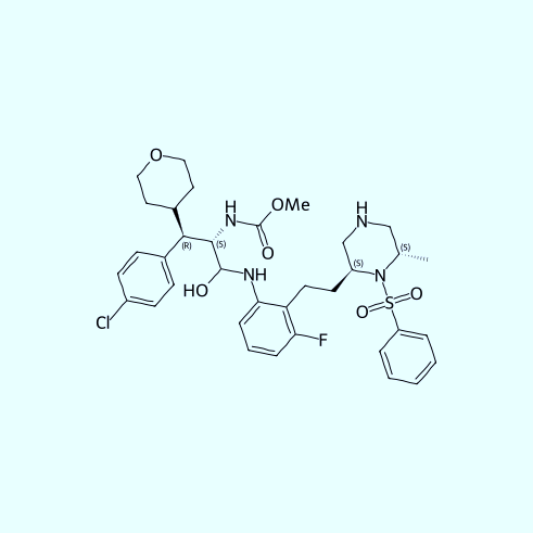 COC(=O)N[C@H](C(O)Nc1cccc(F)c1CC[C@H]1CNC[C@H](C)N1S(=O)(=O)c1ccccc1)[C@@H](c1ccc(Cl)cc1)C1CCOCC1